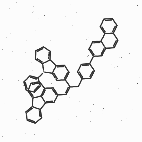 C(=C(\Cc1ccc(-c2ccc3c(ccc4ccccc43)c2)cc1)c1ccc2c3ccccc3n(-c3ccccc3)c2c1)/c1cc2c3c(cccc3c1)-c1ccccc1-2